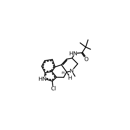 CN1CC(NC(=O)C(C)(C)C)C=C2c3cccc4[nH]c(Cl)c(c34)C[C@H]21